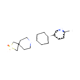 O=S1(=O)CC2(CCN([C@H]3CC[C@H](c4ccc(C(F)(F)F)nc4)CC3)CC2)C1